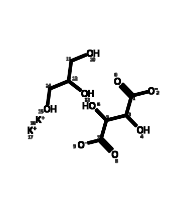 O=C([O-])C(O)C(O)C(=O)[O-].OCC(O)CO.[K+].[K+]